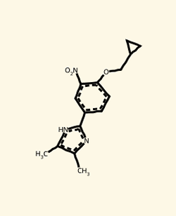 Cc1nc(-c2ccc(OCC3CC3)c([N+](=O)[O-])c2)[nH]c1C